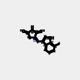 Cc1cccc2c(/C=C3/SC(=O)NC3=S)c[nH]c12